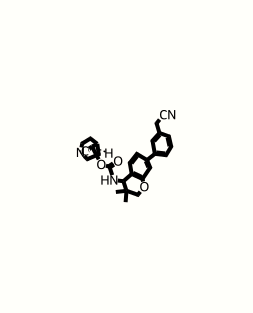 CC1(C)COc2cc(-c3cccc(CC#N)c3)ccc2C1NC(=O)O[C@H]1CN2CCC1CC2